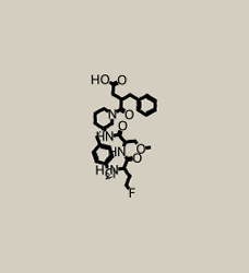 COCC(NC(=O)C(N)CCF)C(=O)N[C@@]1(Cc2ccc(Cl)cc2)CCCN(C(=O)C(CC(=O)O)Cc2ccccc2)C1